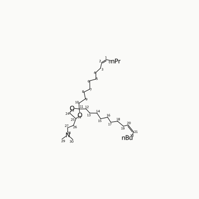 CCC/C=C\CCCCCCCCC1(CCCCCCCC/C=C\CCCC)OCC(CCN(C)C)O1